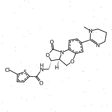 CN1CCCN=C1c1ccc2c(c1)OC[C@H]1[C@H](CNC(=O)c3ccc(Cl)s3)OC(=O)N21